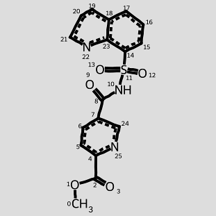 COC(=O)c1ccc(C(=O)NS(=O)(=O)c2cccc3cccnc23)cn1